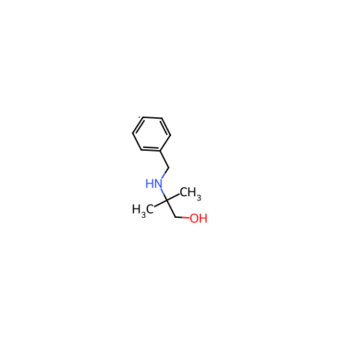 CC(C)(CO)NCc1cc[c]cc1